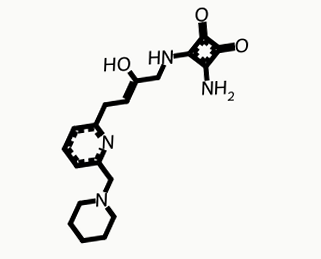 Nc1c(NC/C(O)=C/Cc2cccc(CN3CCCCC3)n2)c(=O)c1=O